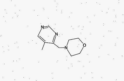 Cc1cn[c]nc1CN1CCOCC1